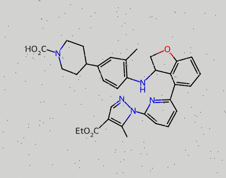 CCOC(=O)c1cnn(-c2cccc(-c3cccc4c3C(Nc3ccc(C5CCN(C(=O)O)CC5)cc3C)CO4)n2)c1C